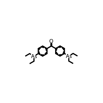 CC[As](CC)c1ccc(C(=O)c2ccc([As](CC)CC)cc2)cc1